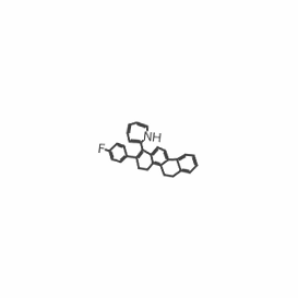 Fc1ccc(C2=C(C3=CC=CC=CN3)c3ccc4c(c3CC2)CCc2ccccc2-4)cc1